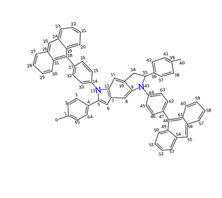 Cc1ccc(-c2cc3cc4c(cc3n2-c2ccc(-c3c5ccccc5cc5ccccc35)cc2)CC(c2ccc(C)cc2)N4c2ccc(-c3c4ccccc4cc4ccccc34)cc2)cc1